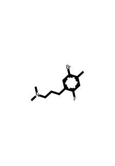 Cc1cc(F)c(CCCN(C)C)cc1Br